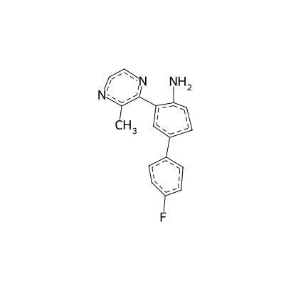 Cc1nccnc1-c1cc(-c2ccc(F)cc2)ccc1N